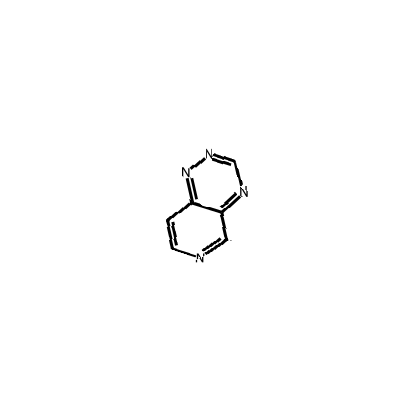 [c]1nccc2nncnc12